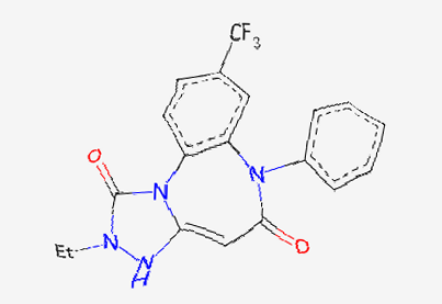 CCN1NC2=CC(=O)N(c3ccccc3)c3cc(C(F)(F)F)ccc3N2C1=O